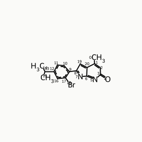 CC1=CC(=O)N=C2N=C(c3ccc(C(C)C)cc3Br)C=C12